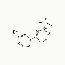 CC(C)(C)[S+]([O-])N=C(CF)c1cccc(Br)c1